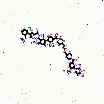 COc1cc2nc(C)nc(N[C@H](C)c3cc(-c4c(Cl)cccc4CN(C)C)cs3)c2cc1C1CCC(C(=O)N2CCC(CCOCC3CCN(C(=O)c4ccc(OC(F)(F)F)c(-n5ccc(=O)[nH]c5=O)c4)CC3)CC2)CC1